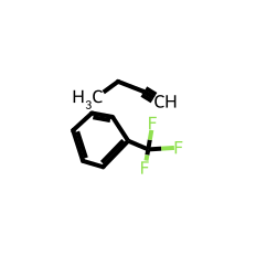 C#CCC.FC(F)(F)c1ccccc1